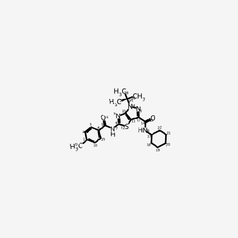 Cc1ccc(C(=O)Nc2nc3c(s2)c(C(=O)NC2CCCCC2)nn3C(C)(C)C)cc1